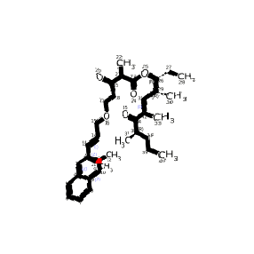 C/C=C(\C=c1\cccc\c1=C\CC)/C=C/COCCC(=O)C(C)C(=O)O[C@H](CC)[C@H](C)/C=C(\C)C(=O)[C@H](C)CCC